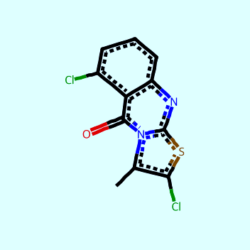 Cc1c(Cl)sc2nc3cccc(Cl)c3c(=O)n12